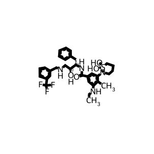 CCNc1cc(C(=O)N[C@@H](Cc2ccccc2)[C@@H](O)CNCc2cccc(C(F)(F)F)c2)cc(N2CCCCS2(O)O)c1C